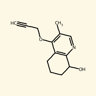 C#CCOc1c(C)cnc2c1CCCC2O